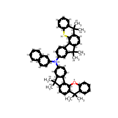 CC1(C)c2ccccc2Oc2c1ccc1c2-c2ccc(N(c3ccc4c(c3)C(C)(C)c3ccc5c(c3-4)Sc3ccccc3C5(C)C)c3ccc4ccccc4c3)cc2C1(C)C